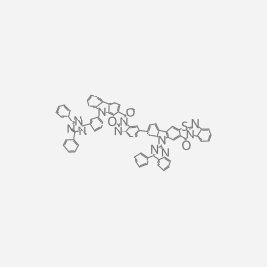 O=c1c2ccc3c4ccccc4n(-c4cccc(-c5nc(-c6ccccc6)nc(-c6ccccc6)n5)c4)c3c2oc2nc3ccc(-c4ccc5c6cc7sc8nc9ccccc9n8c(=O)c7cc6n(-c6nc(-c7ccccc7)c7ccccc7n6)c5c4)cc3n12